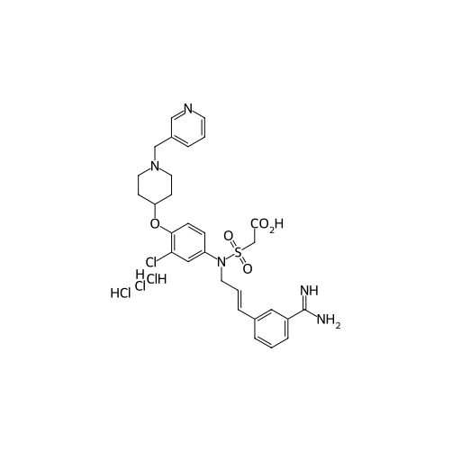 Cl.Cl.Cl.N=C(N)c1cccc(/C=C/CN(c2ccc(OC3CCN(Cc4cccnc4)CC3)c(Cl)c2)S(=O)(=O)CC(=O)O)c1